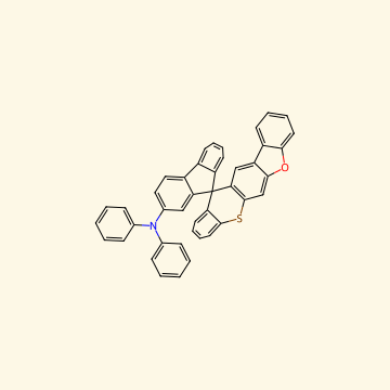 c1ccc(N(c2ccccc2)c2ccc3c(c2)C2(c4ccccc4Sc4cc5oc6ccccc6c5cc42)c2ccccc2-3)cc1